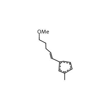 COCCC/C=C/c1cccc(C)c1